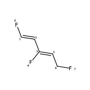 FC=CC(F)=CCF